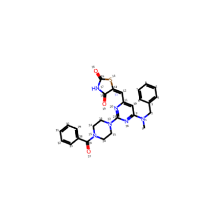 CN(Cc1ccccc1)c1cc(/C=C2/SC(=O)NC2=O)nc(N2CCN(C(=O)c3ccccc3)CC2)n1